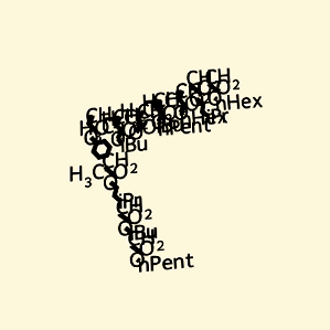 C=C(C)C(=O)OC(C)CC.C=C(C)C(=O)OCC(C)C.C=C(C)C(=O)OCCC(C)C.C=C(C)C(=O)OCCCCC.C=C(C)C(=O)OCCCCCC.C=CC(=O)OC(C)CC.C=CC(=O)OC1CCCCC1.C=CC(=O)OCCC(C)C.C=CC(=O)OCCCCC.C=CC(=O)OCCCCCC